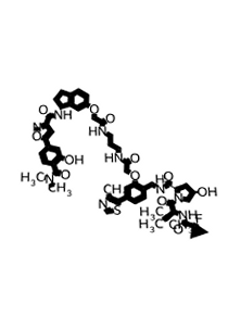 Cc1ncsc1-c1ccc(CNC(=O)[C@@H]2C[C@@H](O)CN2C(=O)C(NC(=O)C2(F)CC2)C(C)(C)C)c(OCC(=O)NCCCNC(=O)COc2ccc3c(c2)[C@H](NC(=O)c2cc(-c4ccc(C(=O)N(C)C)c(O)c4)on2)CC3)c1